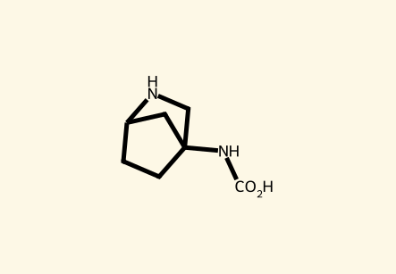 O=C(O)NC12CCC(C1)NC2